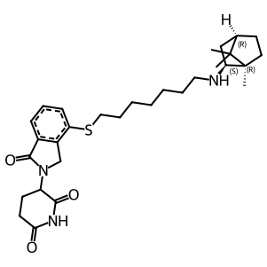 CC1(C)[C@@H]2CC[C@@]1(C)[C@@H](NCCCCCCCSc1cccc3c1CN(C1CCC(=O)NC1=O)C3=O)C2